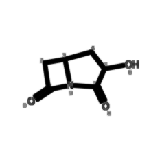 O=C1CC2CC(O)C(=O)N12